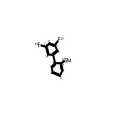 CCC(C)c1ccccc1-c1cc(F)cc(F)c1